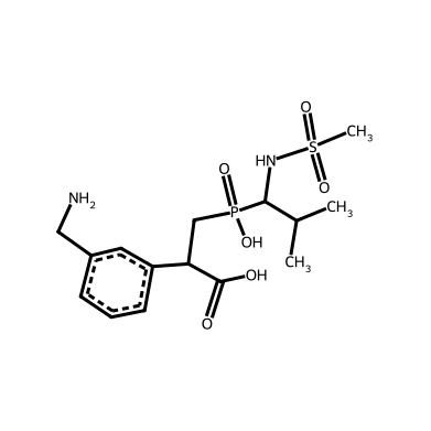 CC(C)C(NS(C)(=O)=O)P(=O)(O)CC(C(=O)O)c1cccc(CN)c1